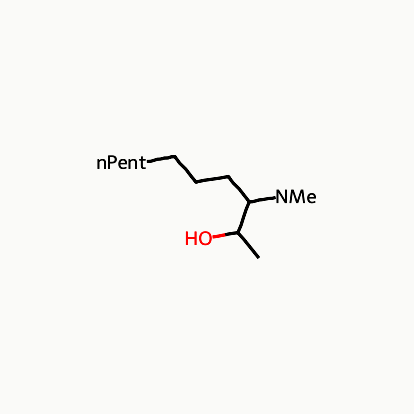 CCCCCCCCC(NC)C(C)O